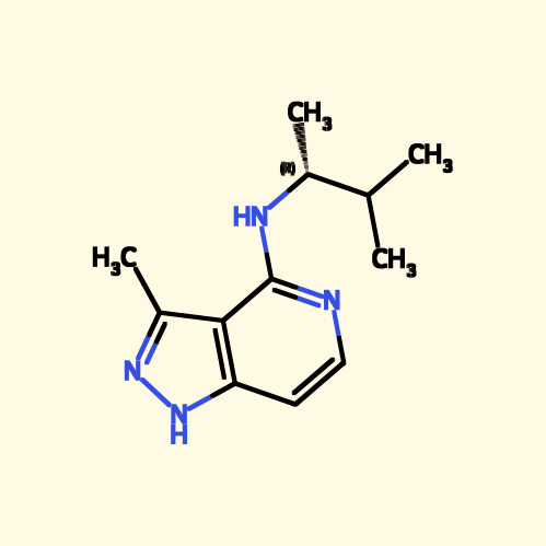 Cc1n[nH]c2ccnc(N[C@H](C)C(C)C)c12